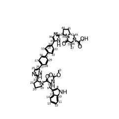 COC(=O)N[C@@H](Cc1c[nH]c2ccccc12)C(=O)N1CCCC1c1ncc(-c2ccc(-c3ccc(-c4cnc([C@@H]5CCCN5C(=O)[C@H](C)N(C)C(=O)O)[nH]4)cc3)cc2)[nH]1